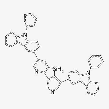 c1ccc(-n2c3ccccc3c3cc(-c4cnc5c(c4)[SiH2]c4c(-c6ccc7c(c6)c6ccccc6n7-c6ccccc6)cncc4-5)ccc32)cc1